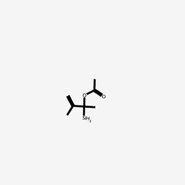 C=C(C)C(C)([SiH3])OC(C)=O